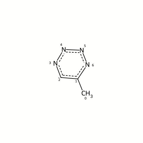 Cc1[c]nnnn1